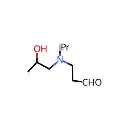 CC(O)CN(CCC=O)C(C)C